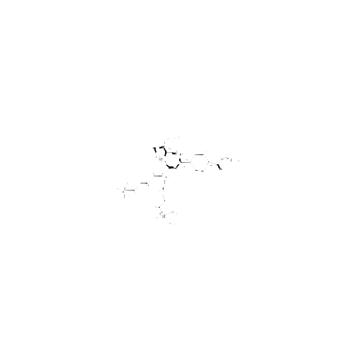 CCCCCc1cnn2c(N(COCC[Si](C)(C)C)COCC[Si](C)(C)C)cc(C3CCC(C(=O)OC(C)(C)C)CC3)nc12